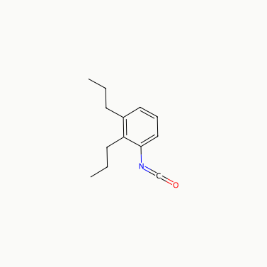 CCCc1cccc(N=C=O)c1CCC